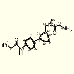 CC(C)CC(=O)Nc1ccc(-c2cccc(CN(C)C(=O)CN)c2)cc1